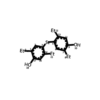 CCc1cc(Sc2cc(CC)c(O)cc2CC)c(CC)cc1O